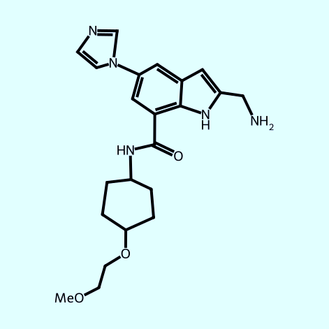 COCCOC1CCC(NC(=O)c2cc(-n3ccnc3)cc3cc(CN)[nH]c23)CC1